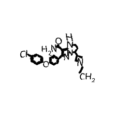 C=CCN1CC(C2CCNc3c(C(N)=O)c(-c4ccc(Oc5ccc(Cl)cc5)cc4)nn32)C1